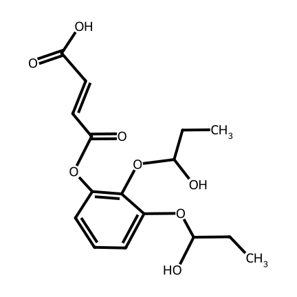 CCC(O)Oc1cccc(OC(=O)C=CC(=O)O)c1OC(O)CC